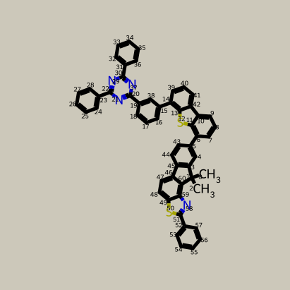 CC1(C)c2cc(-c3cccc4c3sc3c(-c5cccc(-c6nc(-c7ccccc7)nc(-c7ccccc7)n6)c5)cccc34)ccc2-c2ccc3sc(-c4ccccc4)nc3c21